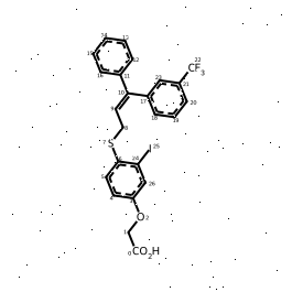 O=C(O)COc1ccc(SCC=C(c2ccccc2)c2cccc(C(F)(F)F)c2)c(I)c1